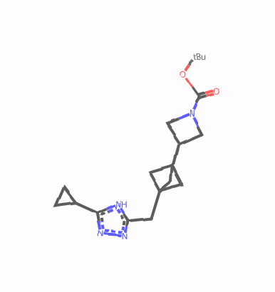 CC(C)(C)OC(=O)N1CC(C23CC(Cc4nnc(C5CC5)[nH]4)(C2)C3)C1